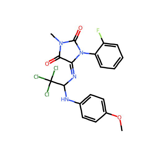 COc1ccc(NC(N=C2C(=O)N(C)C(=O)N2c2ccccc2F)C(Cl)(Cl)Cl)cc1